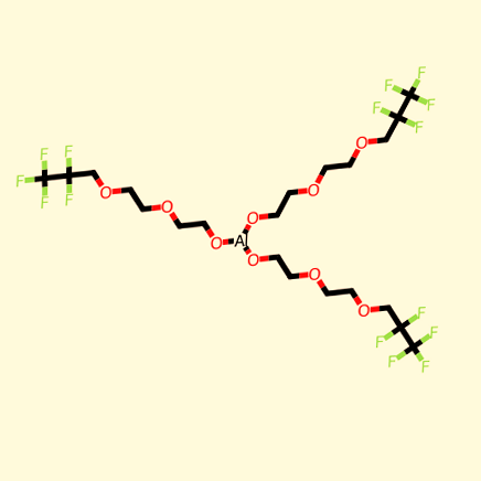 FC(F)(F)C(F)(F)COCCOCC[O][Al]([O]CCOCCOCC(F)(F)C(F)(F)F)[O]CCOCCOCC(F)(F)C(F)(F)F